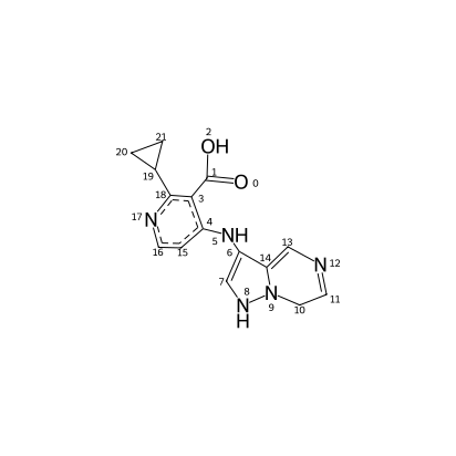 O=C(O)c1c(NC2=CNN3CC=NC=C23)ccnc1C1CC1